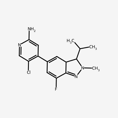 CC(C)C1C2C=C(c3cc(N)ncc3Cl)C=C(F)C2=NN1C